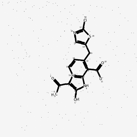 CC(=O)c1c(O)[nH]c2c(C(=O)[O-])c(Cc3cnc(Cl)s3)cc[n+]12